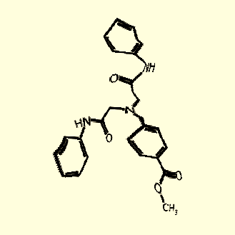 COC(=O)c1ccc(N(CC(=O)Nc2ccccc2)CC(=O)Nc2ccccc2)cc1